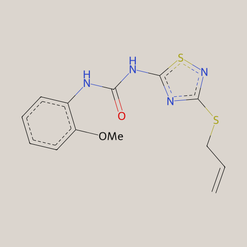 C=CCSc1nsc(NC(=O)Nc2ccccc2OC)n1